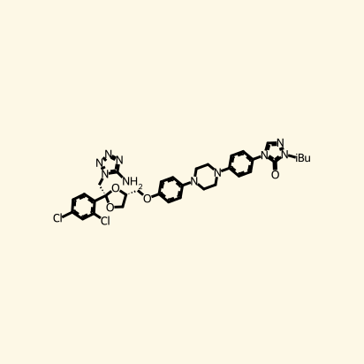 CCC(C)n1ncn(-c2ccc(N3CCN(c4ccc(OC[C@@H]5CO[C@@](Cn6nnnc6N)(c6ccc(Cl)cc6Cl)O5)cc4)CC3)cc2)c1=O